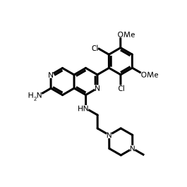 COc1cc(OC)c(Cl)c(-c2cc3cnc(N)cc3c(NCCN3CCN(C)CC3)n2)c1Cl